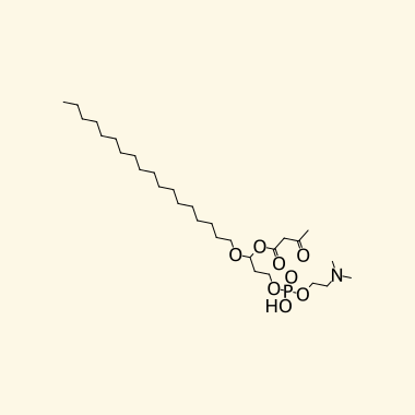 CCCCCCCCCCCCCCCCCCOC(CCOP(=O)(O)OCCN(C)C)OC(=O)CC(C)=O